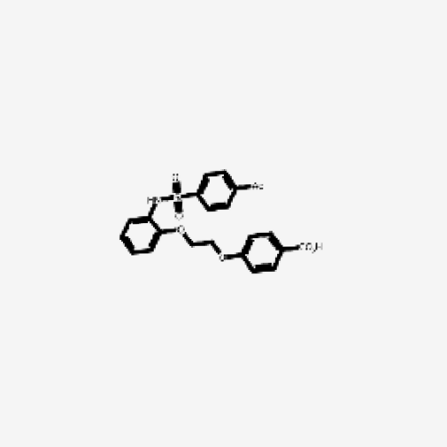 CC(=O)c1ccc(S(=O)(=O)Nc2ccccc2OCCOc2ccc(C(=O)O)cc2)cc1